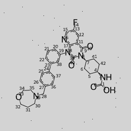 O=C(O)N[C@H]1CC[C@@H](n2c(=O)c3cc(F)cnc3n(-c3cccc(-c4ccc(CN5CCCOCC5)cc4)c3)c2=O)CC1